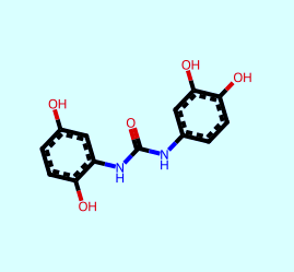 O=C(Nc1ccc(O)c(O)c1)Nc1cc(O)ccc1O